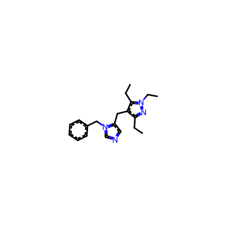 CCc1nn(CC)c(CC)c1Cc1cncn1Cc1ccccc1